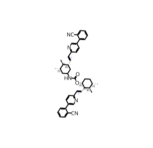 C[C@H]1[C@H](/C=C/c2ccc(-c3ccccc3C#N)cn2)[C@H](OC(=O)NC2C[C@@H](/C=C/c3ccc(-c4ccccc4C#N)cn3)[C@H](C)[C@@H](C)C2)CC[C@@H]1C